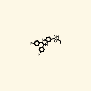 CCc1nnc(-c2ccc3nc(-c4ccc(F)cc4)c(-c4ccc(F)cc4)nc3c2)o1